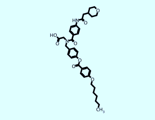 CCCCCCCOc1ccc(C(=O)Oc2ccc(CN(CC(=O)O)C(=O)c3ccc(NC(=O)CC4CCOCC4)cc3)cc2)cc1